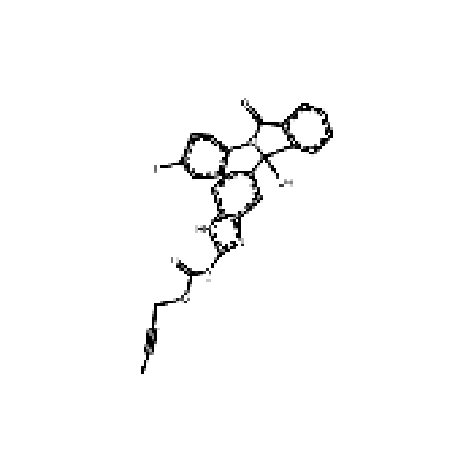 CC#CCOC(=O)Nc1nc2cc(C3(O)c4ccccc4C(=O)N3c3ccc(F)cc3)ccc2[nH]1